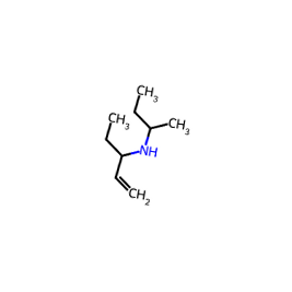 C=CC(CC)NC(C)CC